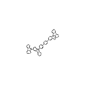 c1ccc2c(c1)c1ccccc1n2-c1ccc2c(c1)c1ccccc1n2-c1ccc(-c2ccc(-c3ccc4c(c3)Oc3cccc5c6ccccc6n-4c35)cc2)cc1